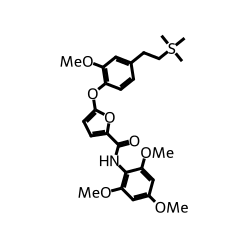 COc1cc(OC)c(NC(=O)c2ccc(Oc3ccc(CCS(C)(C)C)cc3OC)o2)c(OC)c1